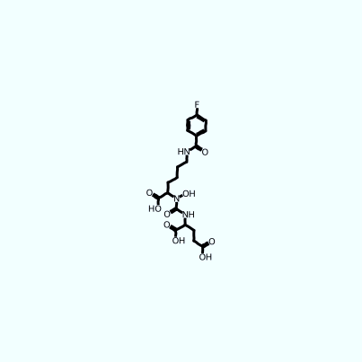 O=C(O)CCC(NC(=O)N(O)C(CCCCNC(=O)c1ccc(F)cc1)C(=O)O)C(=O)O